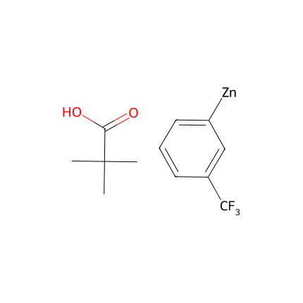 CC(C)(C)C(=O)O.FC(F)(F)c1ccc[c]([Zn])c1